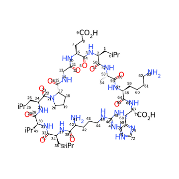 CC(C)C[C@H](NC(=O)[C@H](CCC(=O)O)NC(=O)CNC(=O)[C@@H]1CCCN1C(=O)[C@H](CC(C)C)NC(=O)[C@@H](NC(=O)[C@H](CC(C)C)NC(=O)[C@@H](N)CCCNC(=N)N)C(C)C)C(=O)N[C@@H](C)C(=O)N[C@@H](CCCCN)C(=O)N[C@@H](Cc1c[nH]cn1)C(=O)O